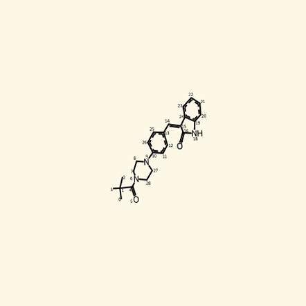 CC(C)(C)C(=O)N1CCN(c2ccc(C=C3C(=O)Nc4ccccc43)cc2)CC1